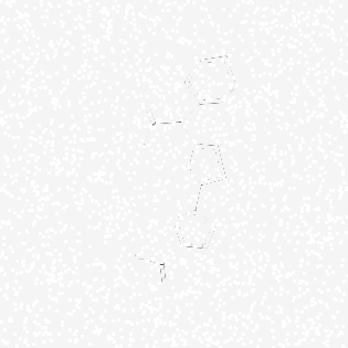 NC(=O)C(c1cccnc1)n1ccc(-c2ccc(C(=O)NO)s2)n1